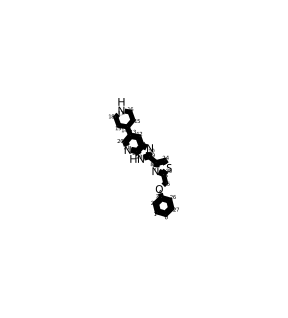 c1ccc(OCc2nc(-c3nc4cc(C5CCNCC5)cnc4[nH]3)cs2)cc1